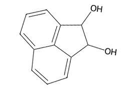 OC1c2cccc3cccc(c23)C1O